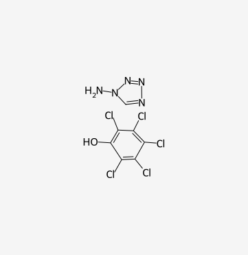 Nn1cnnn1.Oc1c(Cl)c(Cl)c(Cl)c(Cl)c1Cl